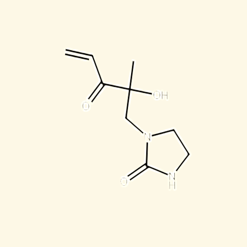 C=CC(=O)C(C)(O)CN1CCNC1=O